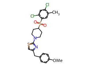 COc1ccc(Cc2csc(N3CCC(S(=O)(=O)c4cc(C)c(Cl)cc4Cl)CC3)n2)cc1